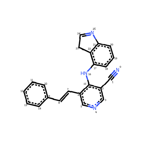 N#Cc1cncc(C=Cc2ccccc2)c1Nc1cccc2c1CC=N2